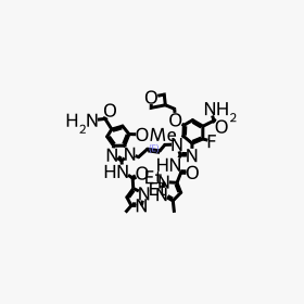 CCn1nc(C)cc1C(=O)Nc1nc2cc(C(N)=O)cc(OC)c2n1C/C=C/Cn1c(NC(=O)c2cc(C)nn2CC)nc2c(F)c(C(N)=O)cc(OCC3COC3)c21